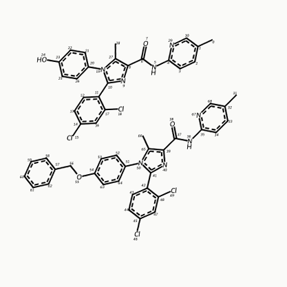 Cc1ccc(NC(=O)c2nc(-c3ccc(Cl)cc3Cl)n(-c3ccc(O)cc3)c2C)nc1.Cc1ccc(NC(=O)c2nc(-c3ccc(Cl)cc3Cl)n(-c3ccc(OCc4ccccc4)cc3)c2C)nc1